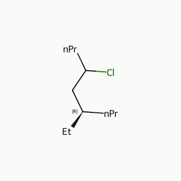 CCCC(Cl)C[C@H](CC)CCC